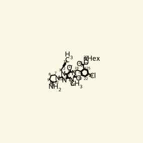 CC#CCn1c(N2CCC[C@@H](N)C2)nc2c1c(=O)n(Cc1ccc(Cl)cc1C(=O)OCCCCCC)c(=O)n2C